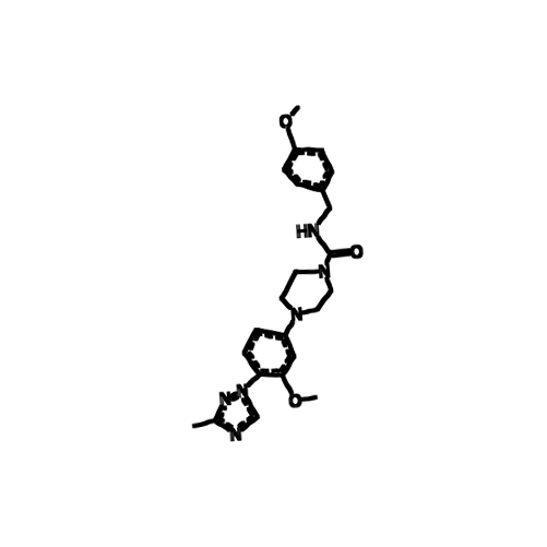 COc1ccc(CNC(=O)N2CCN(c3ccc(-n4cnc(C)n4)c(OC)c3)CC2)cc1